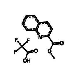 COC(=O)c1ccc2ccccc2n1.O=C(O)C(F)(F)F